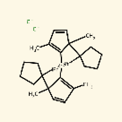 CC1=[C]([Zr+2][C]2=C(C)C=CC2(C)C2(C(C)C)CCCC2)C(C)(C2(C(C)C)CCCC2)C=C1.[Cl-].[Cl-]